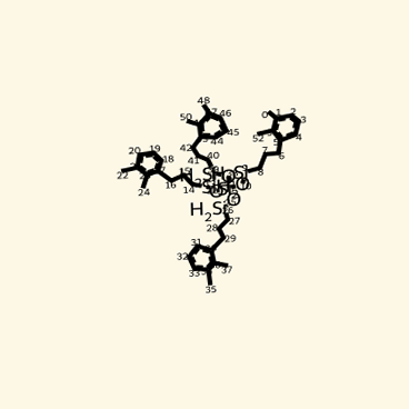 Cc1cccc(CCC[SiH2]O[Si](O[SiH2]CCCc2cccc(C)c2C)(O[SiH2]CCCc2cccc(C)c2C)O[SiH2]CCCc2cccc(C)c2C)c1C